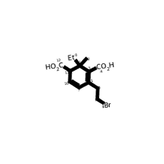 CCC1(C)C(C(=O)O)=C(CCBr)C=CC1C(=O)O